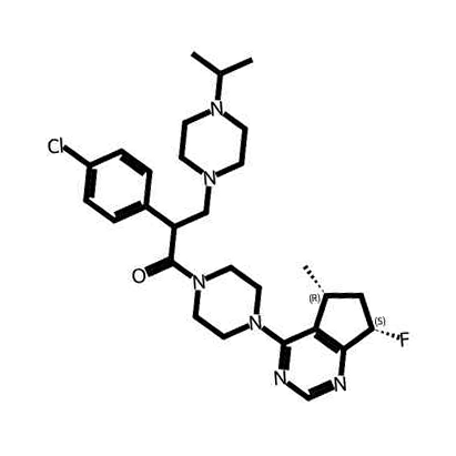 CC(C)N1CCN(CC(C(=O)N2CCN(c3ncnc4c3[C@H](C)C[C@@H]4F)CC2)c2ccc(Cl)cc2)CC1